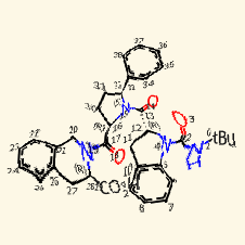 CC(C)(C)NC(=O)N1c2ccccc2C[C@@H]1C(=O)N1[C@@H](C(=O)N2Cc3ccccc3C[C@@H]2C(=O)O)CC[C@H]1c1ccccc1